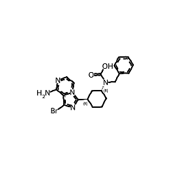 Nc1nccn2c([C@@H]3CCC[C@@H](N(Cc4ccccc4)C(=O)O)C3)nc(Br)c12